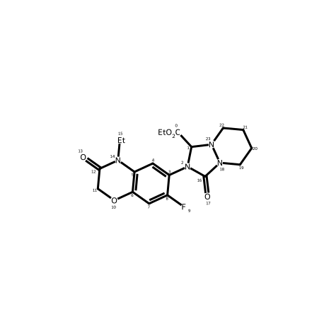 CCOC(=O)C1N(c2cc3c(cc2F)OCC(=O)N3CC)C(=O)N2CCCCN12